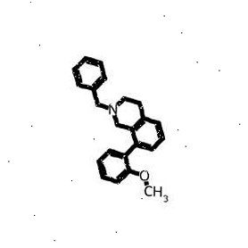 COc1ccccc1-c1cccc2c1CN(Cc1ccccc1)CC2